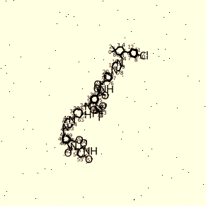 CC1(C)CCC(c2ccc(Cl)cc2)=C(CN2CCN(c3ccc(C(=O)NS(=O)(=O)c4ccc(NC[C@H]5CC[C@H](N6CCN(Cc7ccc8c(c7)C(=O)N(C7CCC(=O)NC7=O)C8=O)CC6)CC5)c(S(=O)(=O)C(F)(F)F)c4)cc3)CC2)C1